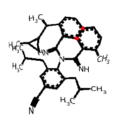 Cc1ccccc1C(=N)N(C(=N)c1ccccc1C(C)C1CC1C)c1c(CC(C)C)cc(C#N)cc1CC(C)C